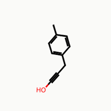 Cc1ccc(CC#CO)cc1